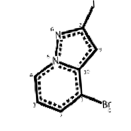 Brc1cccn2nc(I)cc12